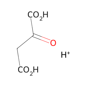 O=C(O)CC(=O)C(=O)O.[H+]